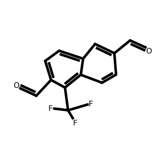 O=Cc1ccc2c(C(F)(F)F)c(C=O)ccc2c1